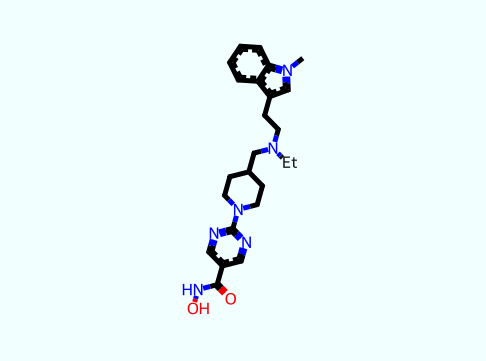 CCN(CCc1cn(C)c2ccccc12)CC1CCN(c2ncc(C(=O)NO)cn2)CC1